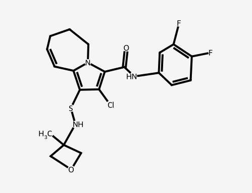 CC1(NSc2c(Cl)c(C(=O)Nc3ccc(F)c(F)c3)n3c2C=CCCC3)COC1